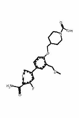 COCc1cc(-c2ccc(C(N)=O)c(F)c2)ccc1OCC1CCN(C(=O)O)CC1